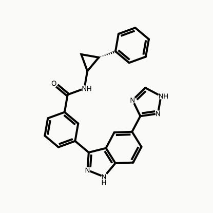 O=C(NC1C[C@@H]1c1ccccc1)c1cccc(-c2n[nH]c3ccc(-c4nc[nH]n4)cc23)c1